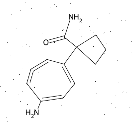 NC(=O)C1(C2=CC=C(N)C=C=C2)CCC1